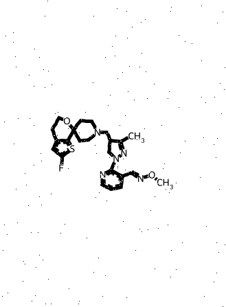 CO/N=C/c1cccnc1N1CC(CN2CCC3(CC2)OCCc2cc(F)sc23)C(C)=N1